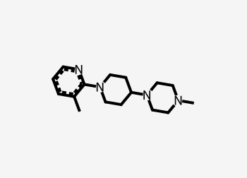 Cc1cccnc1N1CCC(N2CCN(C)CC2)CC1